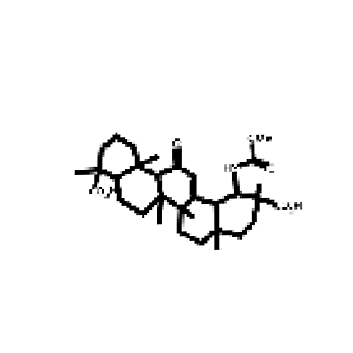 COC(=O)NC1C2C3=CC(=O)C4C5(C)CCCC(C)(C(=O)O)C5CCC4(C)C3(C)CCC2(C)CCC1(C)C(=O)O